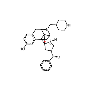 O=C(c1ccccc1)N1C[C@H]2CC34CCC1C2C31CCN(CC2CCNCC2)C4Cc2ccc(O)cc21